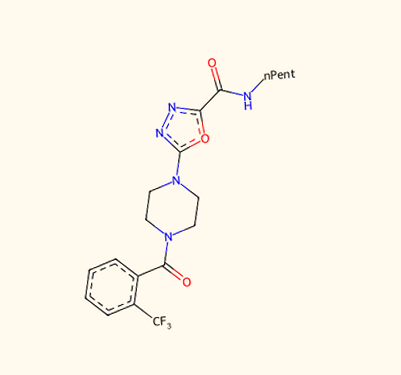 CCCCCNC(=O)c1nnc(N2CCN(C(=O)c3ccccc3C(F)(F)F)CC2)o1